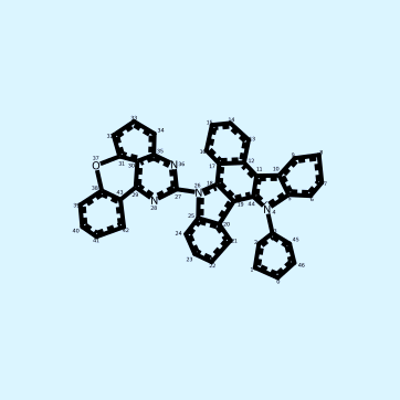 c1ccc(-n2c3ccccc3c3c4ccccc4c4c(c5ccccc5n4-c4nc5c6c(cccc6n4)Oc4ccccc4-5)c32)cc1